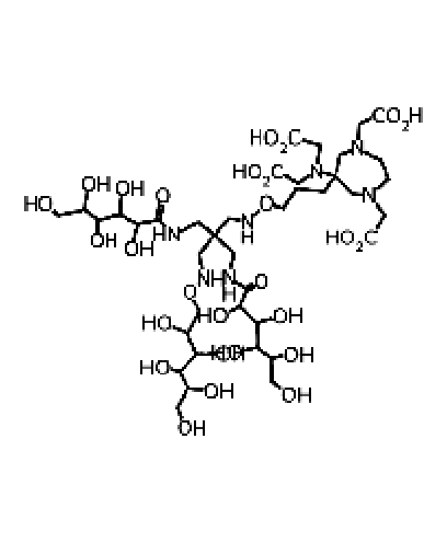 O=C(O)CN1CCN(CC(=O)O)CC(CCCONCC(CNOCC(O)C(O)C(O)C(O)CO)(CNC(=O)C(O)C(O)C(O)C(O)CO)CNC(=O)C(O)C(O)C(O)C(O)CO)(N(CC(=O)O)CC(=O)O)C1